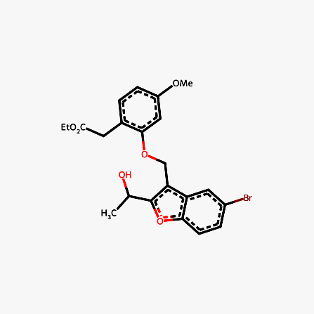 CCOC(=O)Cc1ccc(OC)cc1OCc1c(C(C)O)oc2ccc(Br)cc12